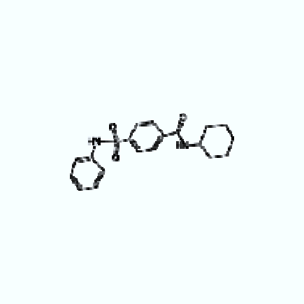 O=C(NC1CCCCC1)c1ccc(S(=O)(=O)Nc2ccccc2)cc1